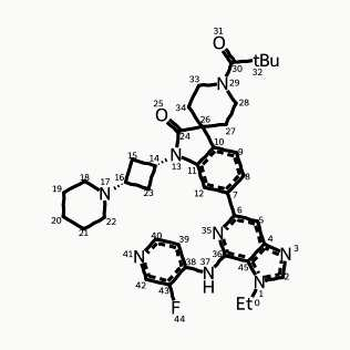 CCn1cnc2cc(-c3ccc4c(c3)N([C@H]3C[C@@H](N5CCCCC5)C3)C(=O)C43CCN(C(=O)C(C)(C)C)CC3)nc(Nc3ccncc3F)c21